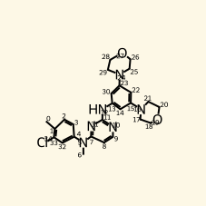 Cc1ccc(N(C)c2ccnc(Nc3cc(N4CCOCC4)cc(N4CCOCC4)c3)n2)cc1Cl